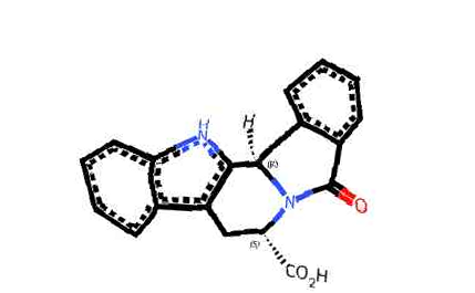 O=C(O)[C@@H]1Cc2c([nH]c3ccccc23)[C@H]2c3ccccc3C(=O)N21